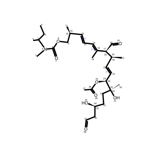 CCC(C)N(C)C(=O)OC[C@@H](C)/C=C/C=C(\C)[C@@H](C=O)[C@@H](C)/C=C/[C@H](OC(C)=O)[C@@](C)(O)CC[C@H](O)CC=O